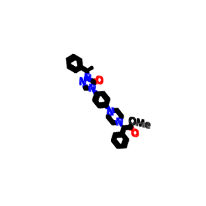 COC(=O)[C@H](c1ccccc1)N1CCN(c2ccc(-n3cnn([C@H](C)c4ccccc4)c3=O)cc2)CC1